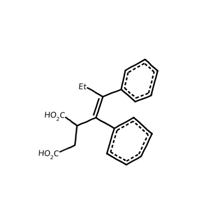 CCC(=C(c1ccccc1)C(CC(=O)O)C(=O)O)c1ccccc1